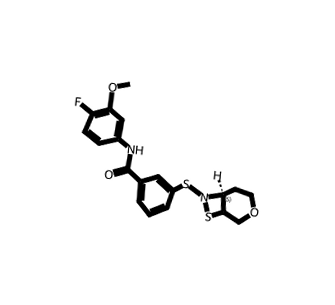 COc1cc(NC(=O)c2cccc(SN3SC4COCC[C@@H]43)c2)ccc1F